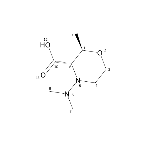 C[C@H]1OCCN(N(C)C)[C@@H]1C(=O)O